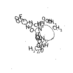 CC[C@@H]1C[C@H](C)CC/C=C\C2CC2(C(=O)NS(=O)(=O)C2(C)CC2)NC(=O)[C@@H]2C[C@@H](Oc3nc4cc(OC)c(F)cc4nc3C)CN2C(=O)[C@H]1NC(=O)O